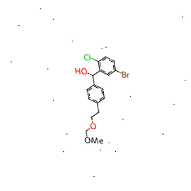 COCOCCc1ccc([C@@H](O)c2cc(Br)ccc2Cl)cc1